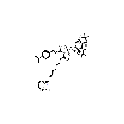 C=C(C)[C@@H]1CC=C(COC(=O)N(C(=O)CCCCCCC/C=C\C/C=C\CCCCC)S(=O)(=O)OC[C@@]23OC[C@H]4OC(C)(C)O[C@H]4[C@@H]2OC(C)(C)O3)CC1